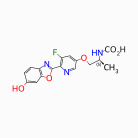 C[C@@H](COc1cnc(-c2nc3ccc(O)cc3o2)c(F)c1)NC(=O)O